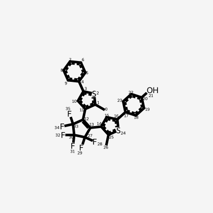 Cc1sc(-c2ccccc2)cc1C1=C(c2cc(-c3ccc(O)cc3)sc2C)C(F)(F)C(F)(F)C1(F)F